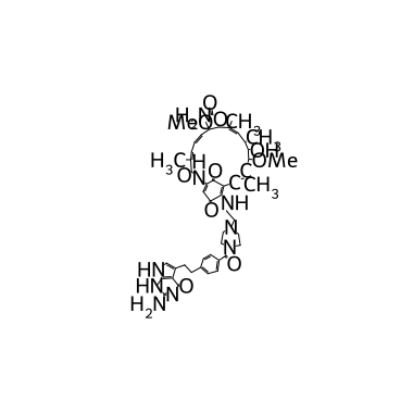 COC1C=CC=C(C)C(=O)NC2=CC(=O)C(NCCN3CCN(C(=O)c4ccc(CCc5c[nH]c6[nH]c(N)nc(=O)c56)cc4)CC3)=C(CC(C)CC(OC)C(O)C(C)C=C(C)C1OC(N)=O)C2=O